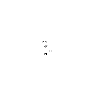 F.[KH].[LiH].[Nd]